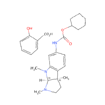 CN1CC[C@]2(C)c3ccc(NC(=O)OC4CCCCC4)cc3N(C)[C@H]12.O=C(O)c1ccccc1O